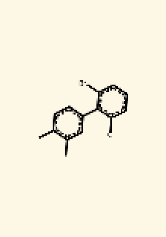 Cc1ccc(-c2c(Cl)cccc2Br)cc1C